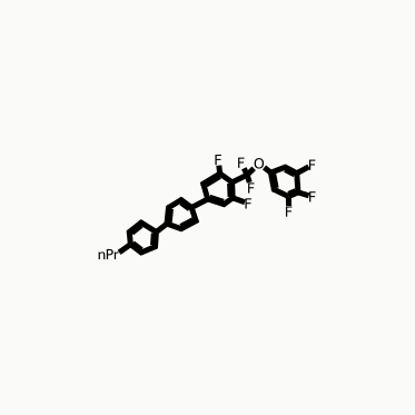 CCCc1ccc(-c2ccc(-c3cc(F)c(C(F)(F)Oc4cc(F)c(F)c(F)c4)c(F)c3)cc2)cc1